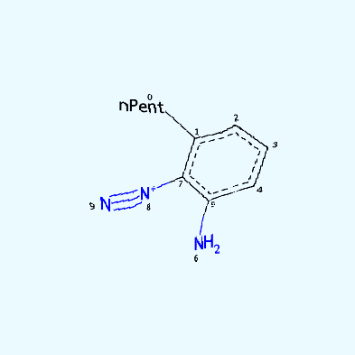 CCCCCc1cccc(N)c1[N+]#N